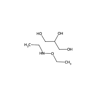 CCNOCC.OCC(O)CO